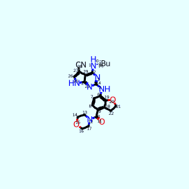 CC[C@@H](C)Nc1nc(Nc2ccc(C(=O)N3CCOCC3)c3c2OCC3)nc2[nH]cc(C#N)c12